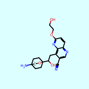 N#Cc1cnc2ccc(OCCO)nc2c1CC(O)C12CCC(N)(CC1)CO2